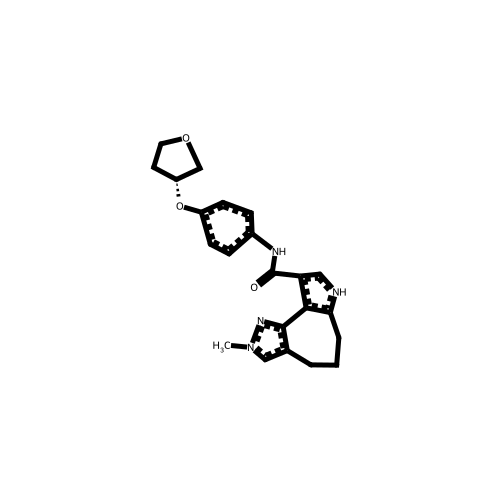 Cn1cc2c(n1)-c1c(C(=O)Nc3ccc(O[C@@H]4CCOC4)cc3)c[nH]c1CCC2